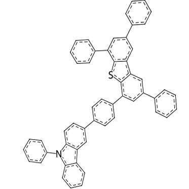 c1ccc(-c2cc(-c3ccccc3)c3sc4c(-c5ccc(-c6ccc7c(c6)c6ccccc6n7-c6ccccc6)cc5)cc(-c5ccccc5)cc4c3c2)cc1